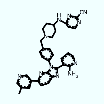 Cc1cncc(-c2ccc3nc(-c4cccnc4N)n(-c4ccc(CN5CCC(Nc6ccnc(C#N)n6)CC5)cc4)c3n2)c1